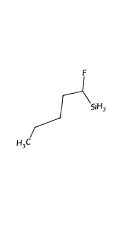 CCCCC(F)[SiH3]